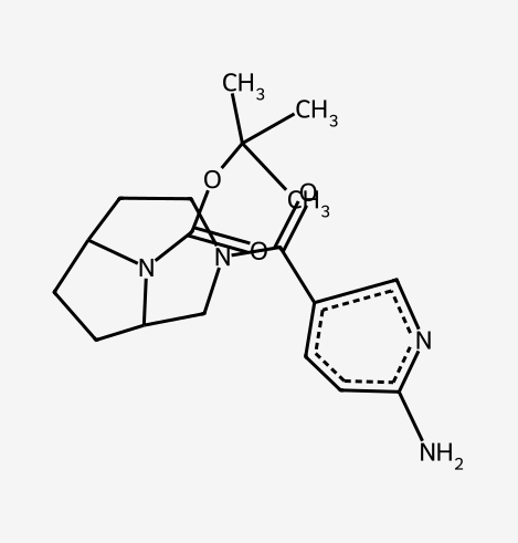 CC(C)(C)OC(=O)N1C2CCC1CN(C(=O)c1ccc(N)nc1)CC2